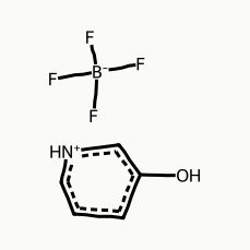 F[B-](F)(F)F.Oc1ccc[nH+]c1